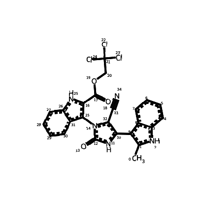 Cc1[nH]c2ccccc2c1-c1[nH]c(=O)n(-c2c(C(=O)OCC(Cl)(Cl)Cl)[nH]c3ccccc23)c1C#N